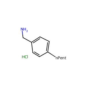 CCCCCc1ccc(CN)cc1.Cl